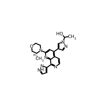 CC(O)n1cc(-c2cc(N3CCOC[C@H]3C)nc3c(-c4ccn[nH]4)nccc23)cn1